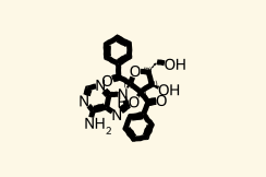 Nc1ncnc2c1ncn2[C@]1(C(=O)c2ccccc2)O[C@H](CO)[C@@H](O)[C@]1(O)C(=O)c1ccccc1